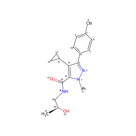 CC(C)n1nc(-c2ccc(C#N)cc2)c(C2CC2)c1C(=O)NC[C@H](C)O